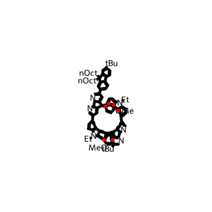 CCCCCCCCC1(CCCCCCCC)c2cc(-c3cnc4c(c3)C3(c5ccc(OC)cc5)c5ccc6c(c5)c5cc(ccc5n6CC)-c5cnc6c(c5)C(c5ccc(OC)cc5)(c5ccc7c(c5)c5cc(ccc5n7CC)-c5cnc-4c3c5)c3cc(C(C)(C)C)cnc3-6)ccc2-c2ccc(C(C)(C)C)cc21